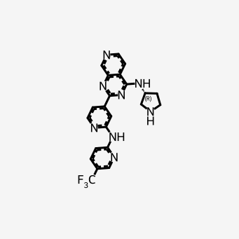 FC(F)(F)c1ccc(Nc2cc(-c3nc(N[C@@H]4CCNC4)c4ccncc4n3)ccn2)nc1